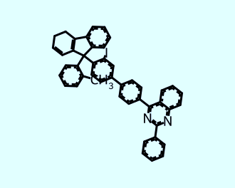 Cc1ccccc1C1(c2ccc(-c3ccc(-c4nc(-c5ccccc5)nc5ccccc45)cc3)cc2I)C2=C(CCC=C2)c2ccccc21